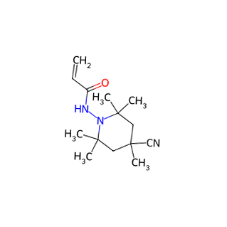 C=CC(=O)NN1C(C)(C)CC(C)(C#N)CC1(C)C